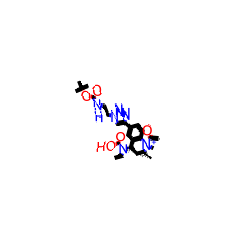 CCN(C(=O)O)[C@@H]1C[C@H](C)[N+](C)(C(C)=O)c2ccc(-c3cn(CCNC(=O)OC(C)(C)C)nn3)cc21